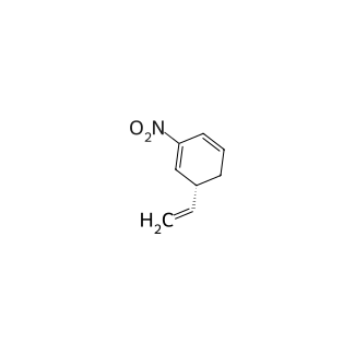 C=C[C@@H]1C=C([N+](=O)[O-])C=CC1